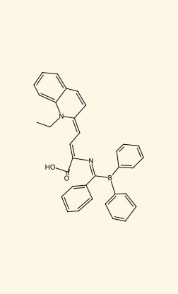 CCN1C(=CC=C(N=C(B(c2ccccc2)c2ccccc2)c2ccccc2)C(=O)O)C=Cc2ccccc21